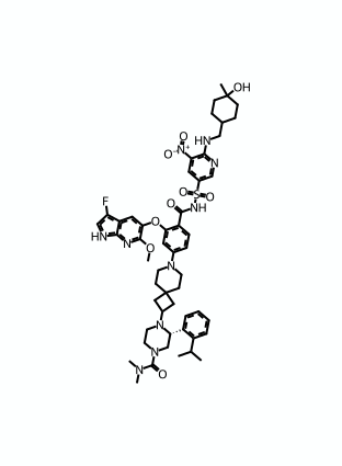 COc1nc2[nH]cc(F)c2cc1Oc1cc(N2CCC3(CC2)CC(N2CCN(C(=O)N(C)C)C[C@H]2c2ccccc2C(C)C)C3)ccc1C(=O)NS(=O)(=O)c1cnc(NCC2CCC(C)(O)CC2)c([N+](=O)[O-])c1